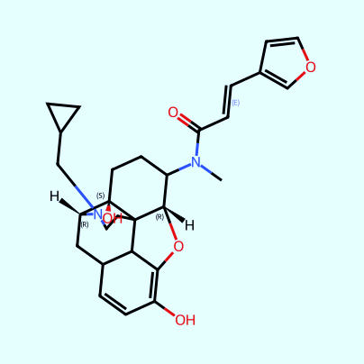 CN(C(=O)/C=C/c1ccoc1)C1CC[C@@]2(O)[C@H]3CC4C=CC(O)=C5O[C@@H]1C2(CCN3CC1CC1)C54